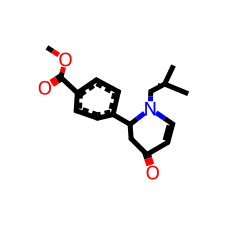 COC(=O)c1ccc(C2CC(=O)C=CN2C[C](C)C)cc1